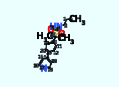 CCCNS(=O)(=O)C(C)(C)c1ccc(-c2ccncc2)cc1